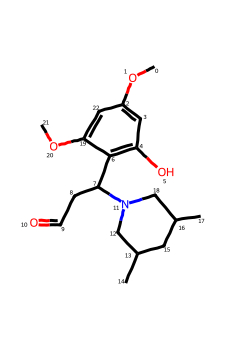 COc1cc(O)c(C(CC=O)N2CC(C)CC(C)C2)c(OC)c1